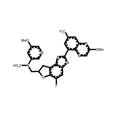 COc1cncc(N(CC2Cc3c(c(F)cc4nc(-c5cc(C)cc6nc(OC)cnc56)sc34)O2)C(=O)O)c1